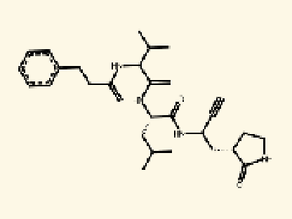 C#CC(C[C@@H]1CCNC1=O)NC(=O)[C@H](CC(C)C)NC(=C)C(NC(=C)CCc1ccccc1)C(C)C